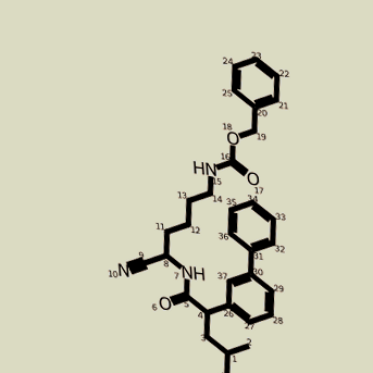 CC(C)CC(C(=O)NC(C#N)CCCCNC(=O)OCc1ccccc1)c1cccc(-c2ccccc2)c1